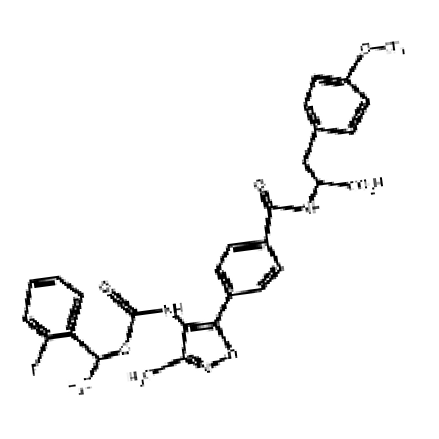 Cc1noc(-c2ccc(C(=O)NC(Cc3ccc(OC(F)(F)F)cc3)C(=O)O)cc2)c1NC(=O)OC(C)c1ccccc1F